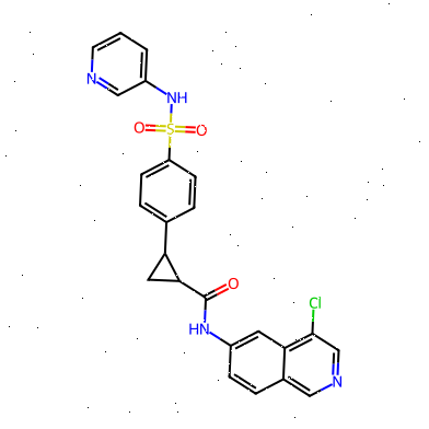 O=C(Nc1ccc2cncc(Cl)c2c1)C1CC1c1ccc(S(=O)(=O)Nc2cccnc2)cc1